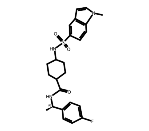 C[C@@H](NC(=O)C1CCC(NS(=O)(=O)c2ccc3c(ccn3C)c2)CC1)c1ccc(F)cc1